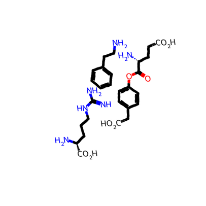 N=C(N)NCCC[C@H](N)C(=O)O.NCCc1ccccc1.N[C@H](CCC(=O)O)C(=O)Oc1ccc(CC(=O)O)cc1